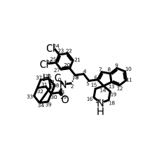 CN(C[C@@H](CCC1=Cc2ccccc2C12CCNCC2)c1ccc(Cl)c(Cl)c1)C(=O)C12CC3CC(CC(C3)C1)C2